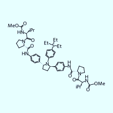 CCS(CC)(CC)c1ccc(N2[C@@H](c3ccc(NC(=O)[C@@H]4CCCN4C(=O)[C@@H](NC(=O)OC)C(C)C)cc3)CC[C@@H]2c2ccc(NC(=O)[C@@H]3CCCN3C(=O)[C@@H](NC(=O)OC)C(C)C)cc2)cc1